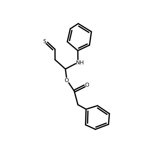 O=C(Cc1ccccc1)OC(CC=S)Nc1ccccc1